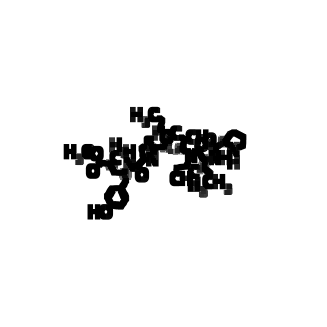 CCCO[C@H](C[C@H](C(C)C)N(CCC)C(=O)[C@@H](NC(=O)[C@H]1CCCCN1)[C@@H](C)CC)C1=NC(C(=O)N[C@@H](Cc2ccc(O)cc2)C[C@H](C)C(=O)OC)CS1